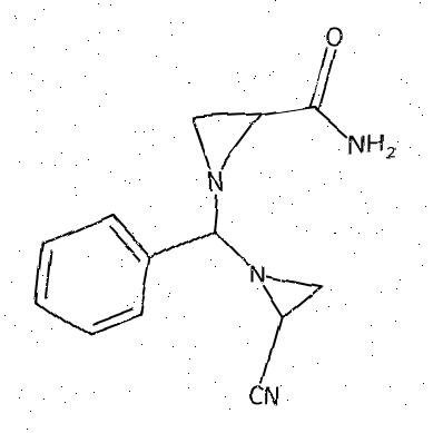 N#CC1CN1C(c1ccccc1)N1CC1C(N)=O